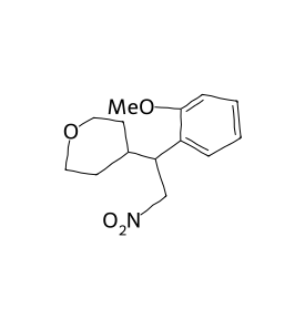 COc1ccccc1C(C[N+](=O)[O-])C1CCOCC1